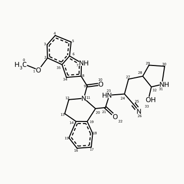 COc1cccc2[nH]c(C(=O)N3CCc4ccccc4C3C(=O)NC(C#N)CC3CCNC3O)cc12